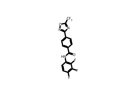 O=C(Nc1ccc(F)c(F)c1F)c1ccc(-c2noc(C(F)(F)F)n2)cc1